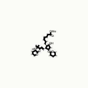 CCCCC(C)(C)[C@@H](/C=C/[C@@H]1[C@@H](CC/C=C\CCC(=O)OC)[C@H](O)C[C@H]1OC1CCCCO1)OC1CCCCO1